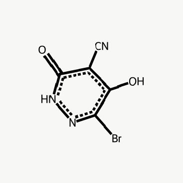 N#Cc1c(O)c(Br)n[nH]c1=O